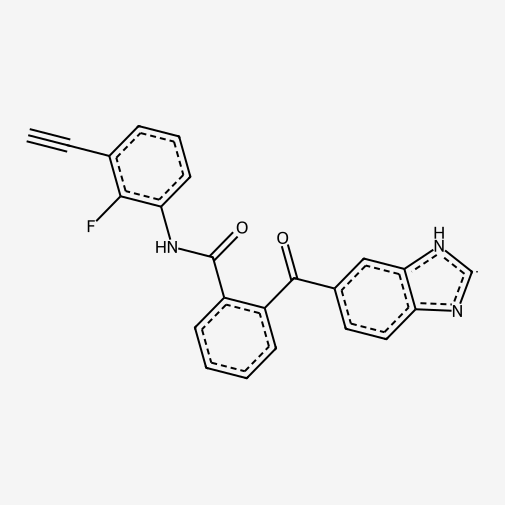 C#Cc1cccc(NC(=O)c2ccccc2C(=O)c2ccc3n[c][nH]c3c2)c1F